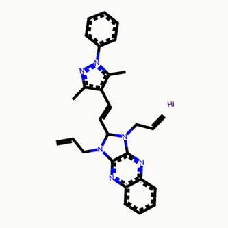 C=CCN1c2nc3ccccc3nc2N(CC=C)C1C=Cc1c(C)nn(-c2ccccc2)c1C.I